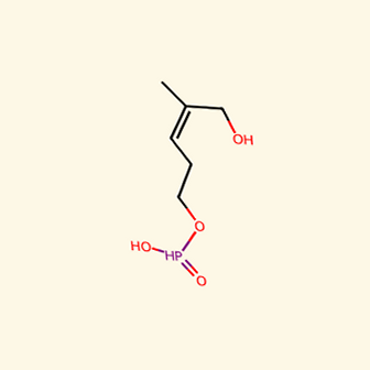 CC(=CCCO[PH](=O)O)CO